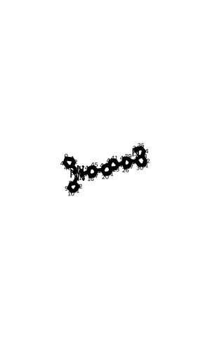 c1ccc(-c2nc(-c3ccccc3)nc(-c3ccc(-c4ccc5cc(-c6ccc(-c7cccc8cccnc78)cc6)ccc5c4)cc3)n2)cc1